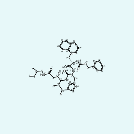 CCC(C)CNC(=O)CC(O)C(NC(=O)[C@H](Cc1nccs1)NC(=O)[C@H](Cc1cccc2ccccc12)NC(=O)OCc1ccccc1)C(C)CC